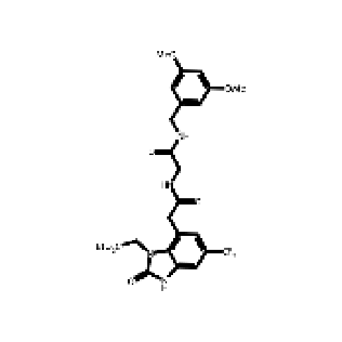 CCOC(=O)Cn1c(=O)[nH]c2cc(C(F)(F)F)cc(CC(=O)NCC(=O)NCc3cc(OC)cc(OC)c3)c21